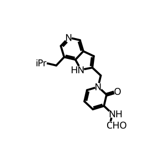 CC(C)Cc1cncc2cc(Cn3cccc(NC=O)c3=O)[nH]c12